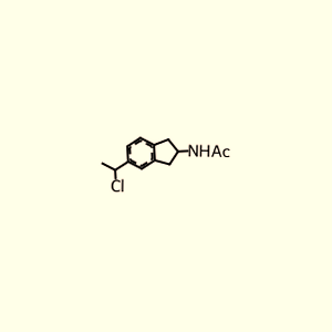 CC(=O)NC1Cc2ccc(C(C)Cl)cc2C1